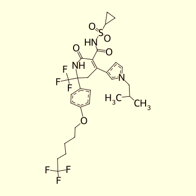 CC(C)Cn1ccc(C2=C(C(=O)NS(=O)(=O)C3CC3)C(=O)NC(c3ccc(OCCCCCC(F)(F)F)cc3)(C(F)(F)F)C2)c1